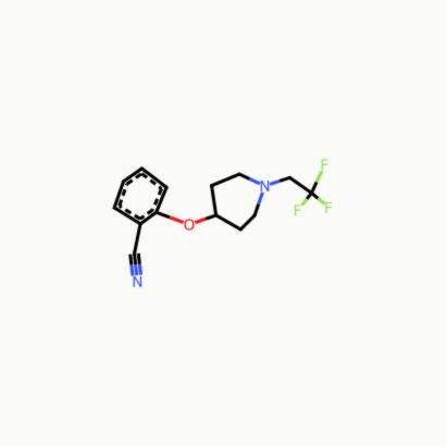 N#Cc1ccccc1OC1CCN(CC(F)(F)F)CC1